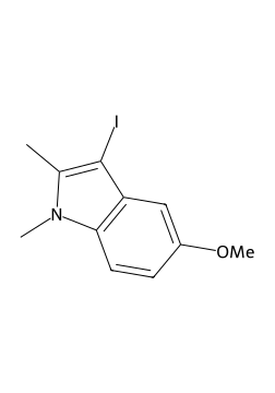 COc1ccc2c(c1)c(I)c(C)n2C